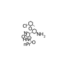 CCCC(=O)c1cc2c(-c3cc(N)ccc3Oc3c(C)cccc3Cl)cn(C)c(=O)c2[nH]1